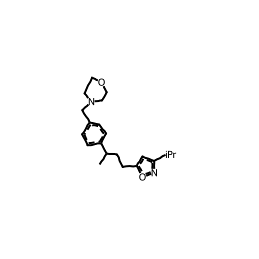 CC(C)c1cc(CCC(C)c2ccc(CN3CCOCC3)cc2)on1